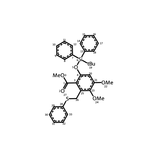 COC(=O)c1c(O[Si](c2ccccc2)(c2ccccc2)C(C)(C)C)cc(OC)c(OC)c1CSc1ccccc1